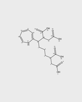 O=C(O)CC(CCCC(C1=CC=CC=CN1)C(CC(=O)O)C(=O)O)C(=O)O